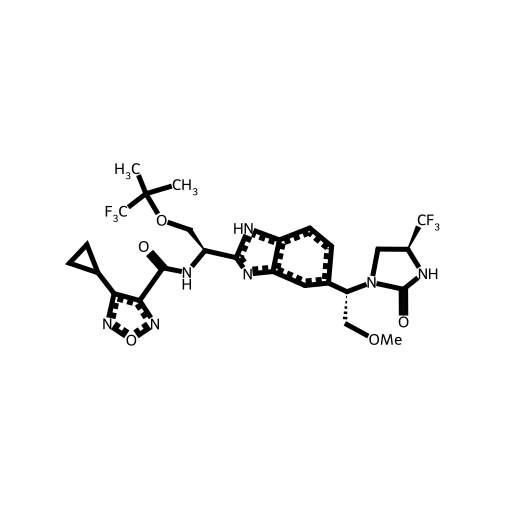 COC[C@H](c1ccc2[nH]c([C@H](COC(C)(C)C(F)(F)F)NC(=O)c3nonc3C3CC3)nc2c1)N1C[C@@H](C(F)(F)F)NC1=O